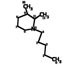 CCCCCN1CCCC(C)C1C